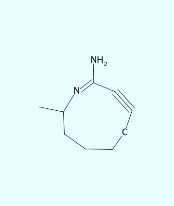 CC1CCCCC#C/C(N)=N\1